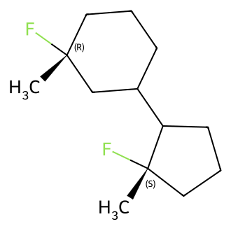 C[C@@]1(F)CCCC(C2CCC[C@]2(C)F)C1